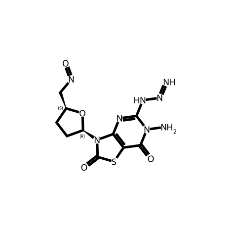 N=NNc1nc2c(sc(=O)n2[C@H]2CC[C@@H](CN=O)O2)c(=O)n1N